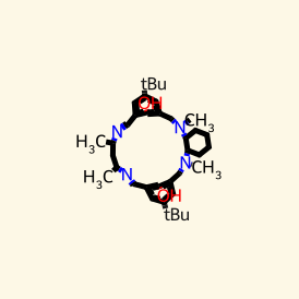 CC1CC(C)/N=C/c2cc(C(C)(C)C)cc(c2O)CN(C)C2CCCCC2N(C)Cc2cc(C(C)(C)C)cc(c2O)/C=N/1